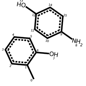 Cc1ccccc1O.Nc1ccc(O)cc1